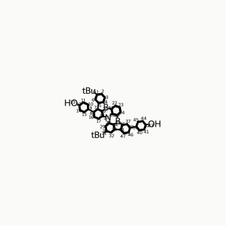 CC(C)(C)c1ccc2c(c1)-c1c(-c3ccc(O)cc3)ccc3c1B2c1cccc2c1N3c1cc(C(C)(C)C)cc3c1B2c1cc(-c2ccc(O)cc2)ccc1-3